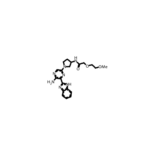 COCCOCC(=O)NC1CCN(c2cnc(N)c(-c3nc4ccccc4[nH]3)n2)C1